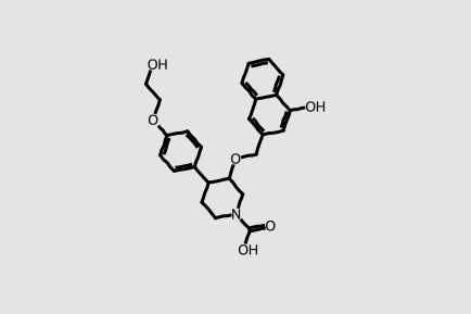 O=C(O)N1CCC(c2ccc(OCCO)cc2)C(OCc2cc(O)c3ccccc3c2)C1